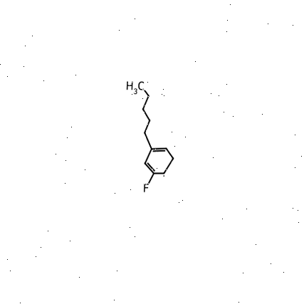 CCCCCC1=CC[CH]C(F)=C1